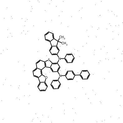 CC1(C)c2ccccc2-c2ccc(N(c3ccccc3)c3cc(N(c4ccccc4)c4ccc(-c5ccccc5)cc4)cc4c3sc3ccc5ccc6c7ccccc7oc6c5c34)cc21